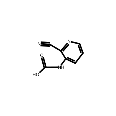 N#Cc1ncccc1NC(=O)O